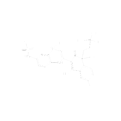 CC(C)(C)CCC1(C)C(=O)C(C2=NP(=O)(O)c3cc(NS(C)(=O)=O)ccc3N2)=C(O)c2cc(F)ccc21